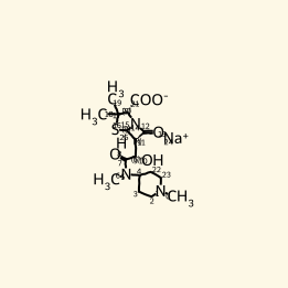 CN1CCC(N(C)C(=O)[C@@H](O)[C@@H]2C(=O)N3[C@@H]2SC(C)(C)[C@@H]3C(=O)[O-])CC1.[Na+]